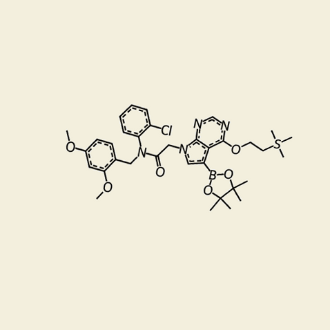 COc1ccc(CN(C(=O)Cn2cc(B3OC(C)(C)C(C)(C)O3)c3c(OCCS(C)(C)C)ncnc32)c2ccccc2Cl)c(OC)c1